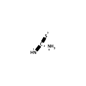 N.N=C=S